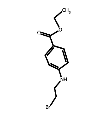 CCOC(=O)c1ccc(NCCBr)cc1